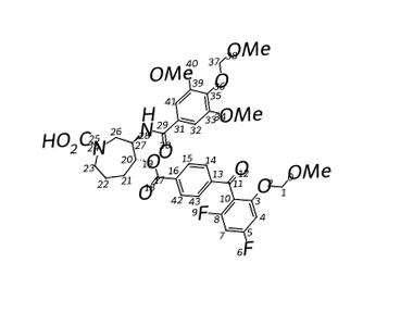 COCOc1cc(F)cc(F)c1C(=O)c1ccc(C(=O)O[C@@H]2CCCN(C(=O)O)C[C@H]2NC(=O)c2cc(OC)c(OCOC)c(OC)c2)cc1